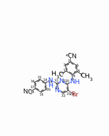 Cc1cc(C#N)cc(C)c1Nc1nc(Nc2ccc(C#N)cc2)ncc1Br